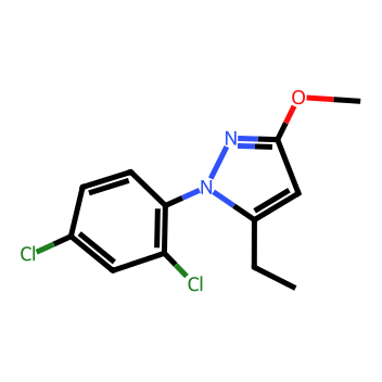 CCc1cc(OC)nn1-c1ccc(Cl)cc1Cl